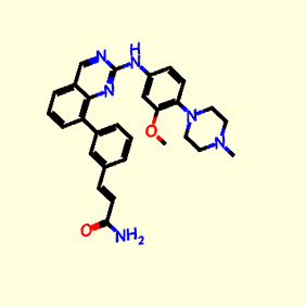 COc1cc(Nc2ncc3cccc(-c4cccc(C=CC(N)=O)c4)c3n2)ccc1N1CCN(C)CC1